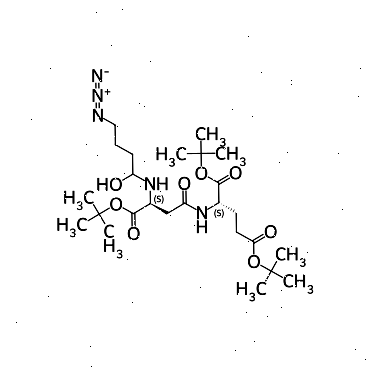 CC(C)(C)OC(=O)CC[C@H](NC(=O)C[C@H](NC(O)CCCN=[N+]=[N-])C(=O)OC(C)(C)C)C(=O)OC(C)(C)C